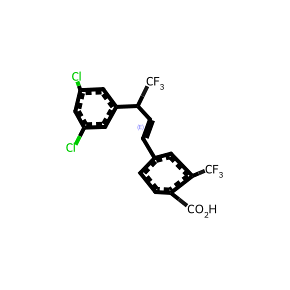 O=C(O)c1ccc(/C=C/C(c2cc(Cl)cc(Cl)c2)C(F)(F)F)cc1C(F)(F)F